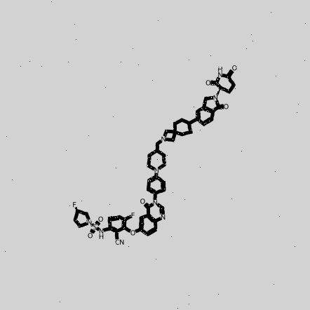 N#Cc1c(NS(=O)(=O)N2CC[C@@H](F)C2)ccc(F)c1Oc1ccc2ncn(-c3ccc(N4CCC(CN5CC6(CCC(c7ccc8c(c7)CN([C@@H]7CCC(=O)NC7=O)C8=O)CC6)C5)CC4)cc3)c(=O)c2c1